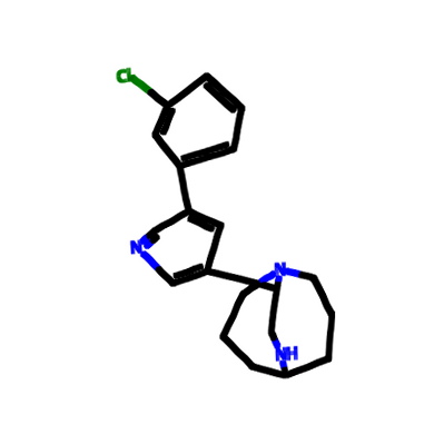 Clc1cccc(-c2cncc(C3CNC4CCCN3CCC4)c2)c1